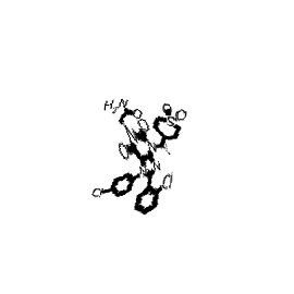 C[C@@H](C1CCS(=O)(=O)CC1)n1c(=O)n(CC(N)=O)c(=O)c2c1nc(-c1ccccc1Cl)n2-c1ccc(Cl)cc1